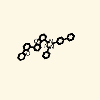 C1=Cc2c(oc3c(-c4cccc5c4oc4cccc(-c6nc(-c7ccccc7)nc(-c7ccc(-c8ccccc8)cc7)n6)c45)cccc23)CC1